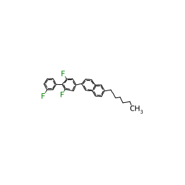 CCCCCCc1ccc2cc(-c3cc(F)c(-c4cccc(F)c4)c(F)c3)ccc2c1